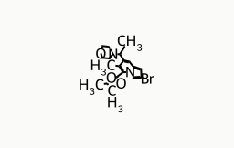 CCC(c1cc2cc(Br)cn2c(C(=O)OC(C)C)c1C)N1CCOCC1